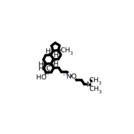 CN(C)CCCO/N=C/CCC1C[C@H](O)C[C@H]2CC[C@H]3[C@@H]4CCC[C@@]4(C)CC[C@@H]3[C@@]12C